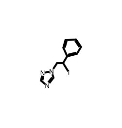 IC(Cn1cncn1)c1ccccc1